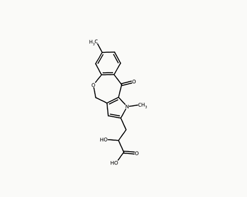 Cc1ccc2c(c1)OCc1cc(CC(O)C(=O)O)n(C)c1C2=O